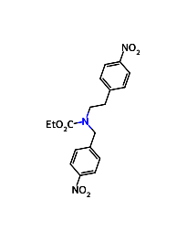 CCOC(=O)N(CCc1ccc([N+](=O)[O-])cc1)Cc1ccc([N+](=O)[O-])cc1